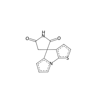 O=C1CC2(C(=O)N1)c1ccsc1-n1cccc12